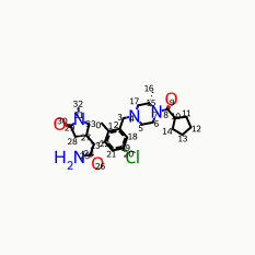 Cc1c(CN2CCN(C(=O)C3CCCC3)[C@@H](C)C2)cc(Cl)cc1[C@H](C(N)=O)[C@H]1CC(=O)N(C)C1